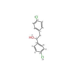 OC(Cc1ccc(Cl)cc1)c1ccc(Cl)cc1